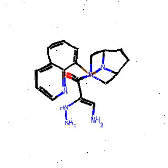 N/C=C(\NN)C(=O)N1CC2CCC(C1)N2Sc1cccc2cccnc12